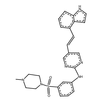 CN1CCN(S(=O)(=O)c2cccc(Nc3ncc(C=Cc4cccc5[nH]ccc45)cn3)c2)CC1